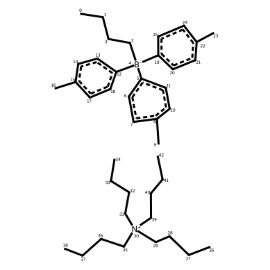 CCCC[B-](c1ccc(C)cc1)(c1ccc(C)cc1)c1ccc(C)cc1.CCCC[N+](CCCC)(CCCC)CCCC